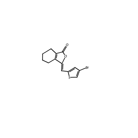 O=C1OC(=Cc2cc(Br)cs2)C2=C1CCCC2